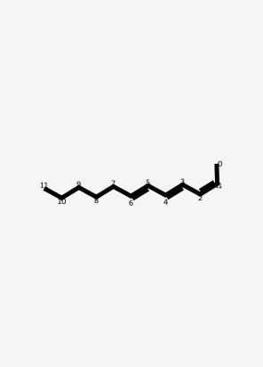 C\[C]=C/C=C/C=C/CCCCC